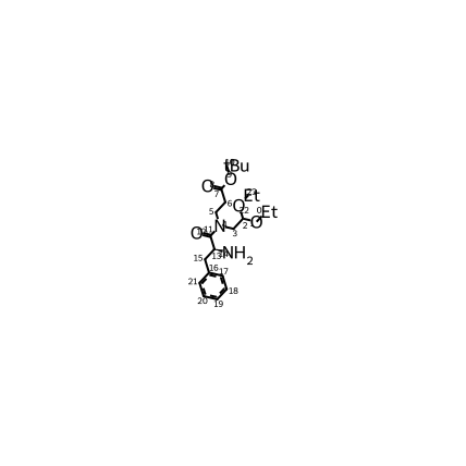 CCOC(CN(CCC(=O)OC(C)(C)C)C(=O)[C@@H](N)Cc1ccccc1)OCC